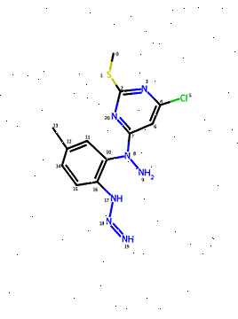 CSc1nc(Cl)cc(N(N)c2cc(C)ccc2NN=N)n1